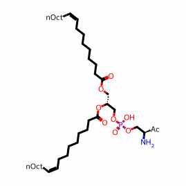 CCCCCCCC/C=C\CCCCCCCC(=O)OC[C@H](COP(=O)(O)OC[C@H](N)C(C)=O)OC(=O)CCCCCCC/C=C\CCCCCCCC